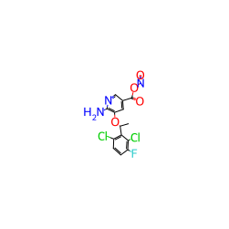 CC(Oc1cc(C(=O)ON=O)cnc1N)c1c(Cl)ccc(F)c1Cl